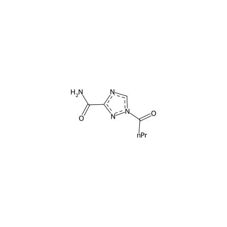 CCCC(=O)n1cnc(C(N)=O)n1